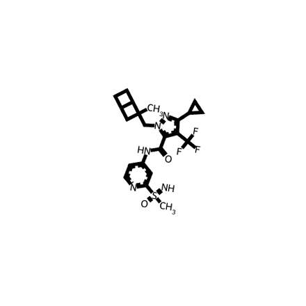 CC1(Cn2nc(C3CC3)c(C(F)(F)F)c2C(=O)Nc2ccnc(S(C)(=N)=O)c2)CC2CCC21